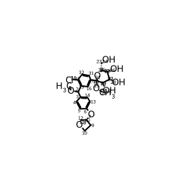 COC(c1ccc(O[C@H]2CCOC2)cc1)c1cc([C@]2(OC)O[C@H](CO)[C@@H](O)[C@H](O)[C@H]2O)ccc1Cl